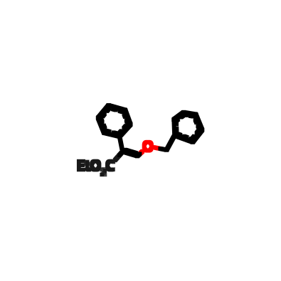 CCOC(=O)C(=COCc1ccccc1)c1ccccc1